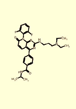 CCN(CC)CCCNc1nc(-c2ccc(C(=O)NC(C)C)cc2)c2ccc(=O)n(-c3c(F)cccc3F)c2n1